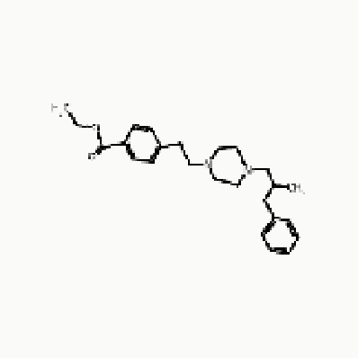 CCOC(=O)c1ccc(CCN2CCN(CC(C)Cc3ccccc3)CC2)cc1